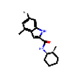 Cc1cc(C#N)cc2[nH]c(C(=O)N[C@@H]3CCCC[C@@H]3C)cc12